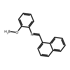 BOc1ccccc1/N=C/c1cccc2ccccc12